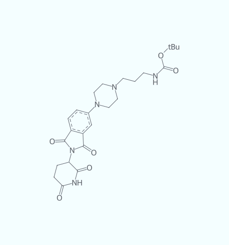 CC(C)(C)OC(=O)NCCCN1CCN(c2ccc3c(c2)C(=O)N(C2CCC(=O)NC2=O)C3=O)CC1